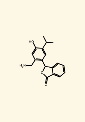 CC(C)c1cc(C2OC(=O)c3ccccc32)c(CN)cc1O